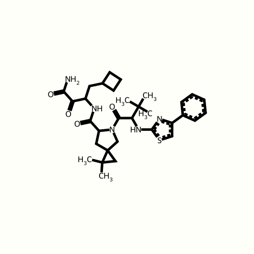 CC(C)(C)C(Nc1nc(-c2ccccc2)cs1)C(=O)N1CC2(CC1C(=O)NC(CC1CCC1)C(=O)C(N)=O)CC2(C)C